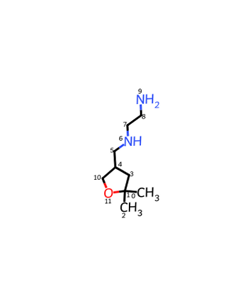 CC1(C)CC(CNCCN)CO1